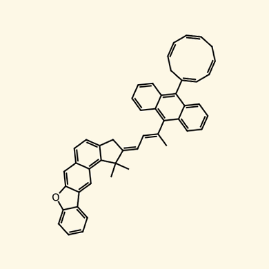 C/C(=C\C=C1/Cc2ccc3cc4oc5ccccc5c4cc3c2C1(C)C)c1c2ccccc2c(/C2=C/C=C\C/C=C\C=C/C2)c2ccccc12